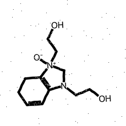 [O-][N+]1(CCO)CN(CCO)C2=C1CCC=C2